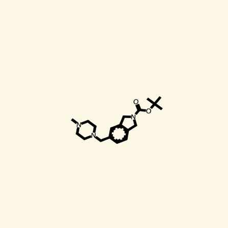 CN1CCN(Cc2ccc3c(c2)CN(C(=O)OC(C)(C)C)C3)CC1